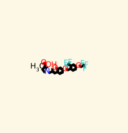 CC1(C(=O)O)CCN(CC2=Cc3ccc(OCc4ccc(OCC(F)(F)F)cc4C(F)(F)F)cc3OC2)C1